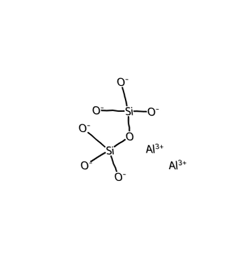 [Al+3].[Al+3].[O-][Si]([O-])([O-])O[Si]([O-])([O-])[O-]